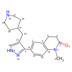 CN1C(=O)CCc2cc(-c3n[nH]cc3CC3CCNCC3)ccc21